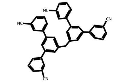 N#Cc1cccc(-c2cc(Cc3cc(-c4cccc(C#N)c4)cc(-c4cccc(C#N)c4)c3)cc(-c3cccc(C#N)c3)c2)c1